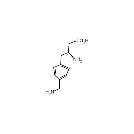 NCc1ccc(C[C@H](N)CC(=O)O)cc1